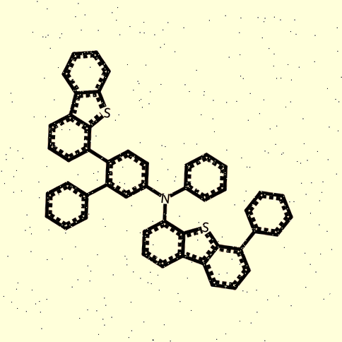 c1ccc(-c2cc(N(c3ccccc3)c3cccc4c3sc3c(-c5ccccc5)cccc34)ccc2-c2cccc3c2sc2ccccc23)cc1